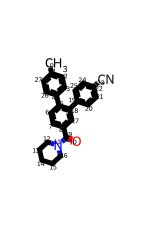 Cc1ccc(-c2ccc(C(=O)N3CCCCC3)cc2-c2ccc(C#N)cc2)cc1